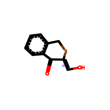 O=C1/C(=C/O)SCc2ccccc21